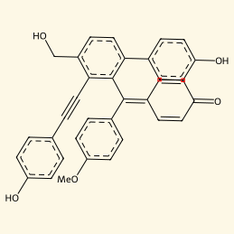 COc1ccc(C(=C2C=CC(=O)C=C2)c2c(-c3ccc(O)cc3)ccc(CO)c2C#Cc2ccc(O)cc2)cc1